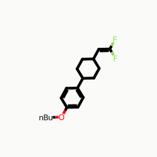 CCCCOc1ccc(C2CCC(C=C(F)F)CC2)cc1